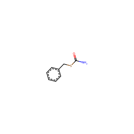 NC(=O)SCc1ccccc1